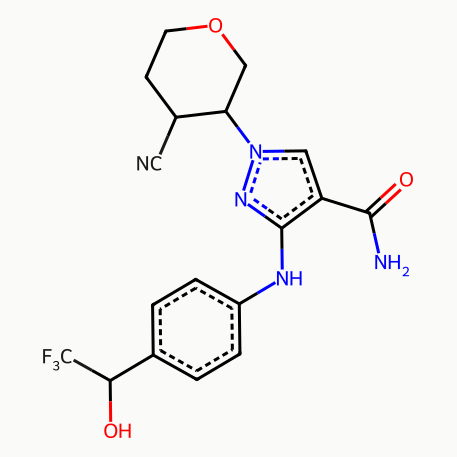 N#CC1CCOCC1n1cc(C(N)=O)c(Nc2ccc(C(O)C(F)(F)F)cc2)n1